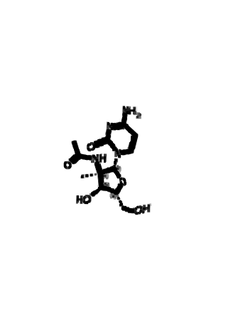 CC(=O)N[C@]1(C)[C@H](O)[C@@H](CO)O[C@H]1n1ccc(N)nc1=O